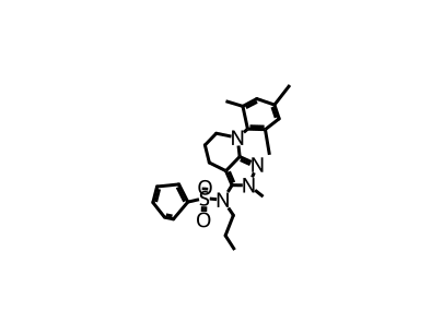 CCCN(c1c2c(nn1C)N(c1c(C)cc(C)cc1C)CCC2)S(=O)(=O)c1ccccc1